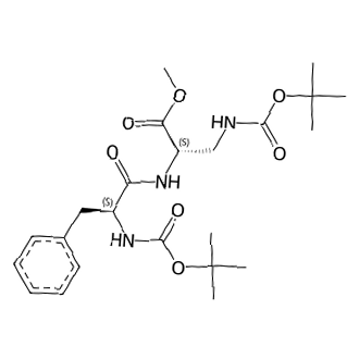 COC(=O)[C@H](CNC(=O)OC(C)(C)C)NC(=O)[C@H](Cc1ccccc1)NC(=O)OC(C)(C)C